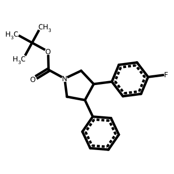 CC(C)(C)OC(=O)N1CC(c2ccccc2)C(c2ccc(F)cc2)C1